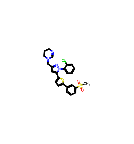 CS(=O)(=O)c1cccc(-c2ccc(-c3cc(CN4C=NCCC4)nn3-c3ccccc3Cl)s2)c1